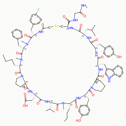 CCCC[C@H]1C(=O)N[C@@H](Cc2ccc(O)cc2)C(=O)N2CCCC[C@@H]2C(=O)N[C@@H](Cc2c[nH]c3ccccc23)C(=O)N[C@@H](Cc2ccc(O)cc2)C(=O)N[C@@H](CC(C)C)C(=O)N[C@H](C(=O)NCC(N)=O)CSCC(=O)N[C@@H](Cc2ccc(F)cc2)C(=O)N(C)[C@@H](Cc2ccccc2)C(=O)N(C)[C@@H](CCCC)C(=O)N2CCC[C@@H]2C(=O)N[C@@H](CC(=O)O)C(=O)N[C@@H](C(C)C)C(=O)N1C